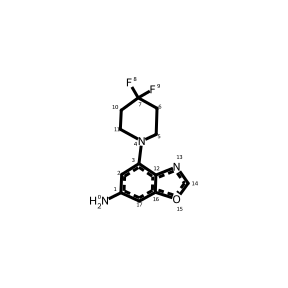 Nc1cc(N2CCC(F)(F)CC2)c2ncoc2c1